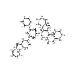 c1ccc(-c2nc(-c3ccc4c(c3)sc3ccccc34)nc(-c3cc4ccc5ccccc5c4c4oc5ccccc5c34)n2)cc1